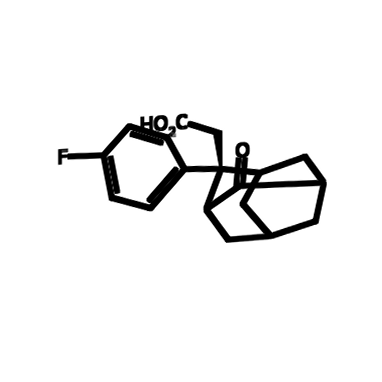 O=C(O)C[C@@]1(c2ccc(F)cc2)C2CC3CC(C2)C(=O)C1C3